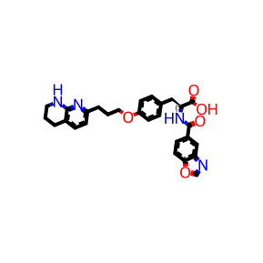 O=C(N[C@@H](Cc1ccc(OCCCc2ccc3c(n2)NCCC3)cc1)C(=O)O)c1ccc2ocnc2c1